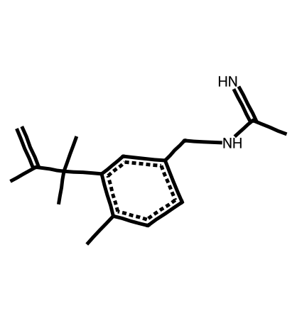 C=C(C)C(C)(C)c1cc(CNC(C)=N)ccc1C